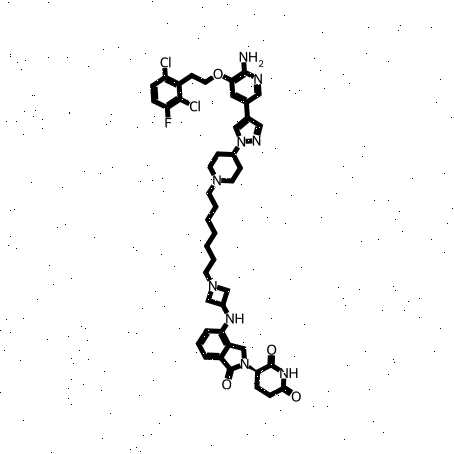 Nc1ncc(-c2cnn(C3CCN(CCCCCCCN4CC(Nc5cccc6c5CN([C@@H]5CCC(=O)NC5=O)C6=O)C4)CC3)c2)cc1OCCc1c(Cl)ccc(F)c1Cl